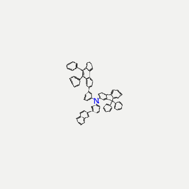 c1ccc(-c2c(-c3ccccc3)c3cc(-c4cccc(N(c5cccc(-c6ccc7ccccc7c6)c5)c5ccc6c(c5)C(c5ccccc5)(c5ccccc5)c5ccccc5-6)c4)ccc3c3ccccc23)cc1